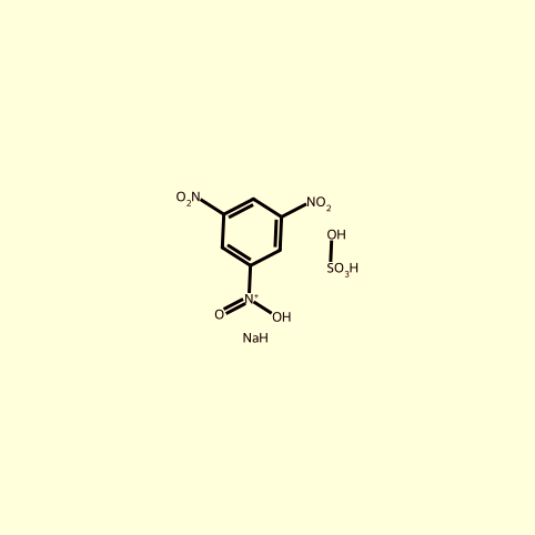 O=S(=O)(O)O.O=[N+]([O-])c1cc([N+](=O)[O-])cc([N+](=O)O)c1.[NaH]